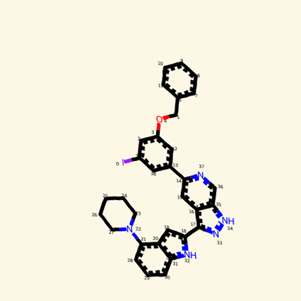 Ic1cc(OCc2ccccc2)cc(-c2cc3c(-c4cc5c(N6CCCCC6)cccc5[nH]4)n[nH]c3cn2)c1